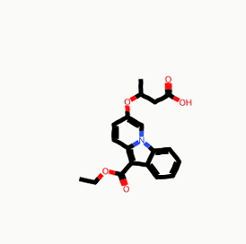 CCOC(=O)c1c2ccccc2n2cc(OC(C)CC(=O)O)ccc12